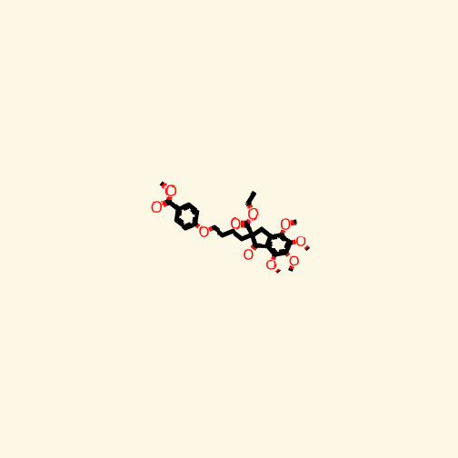 CCOC(=O)C1(CCCCOc2ccc(C(=O)OC)cc2)Cc2c(OC)c(OC)c(OC)c(OC)c2C1=O